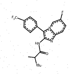 CC(C(=O)Nc1nc2ccc(F)cn2c1-c1ccc(C(F)(F)F)cc1)C(C)(C)C